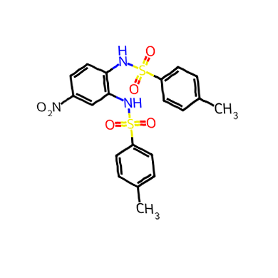 Cc1ccc(S(=O)(=O)Nc2ccc([N+](=O)[O-])cc2NS(=O)(=O)c2ccc(C)cc2)cc1